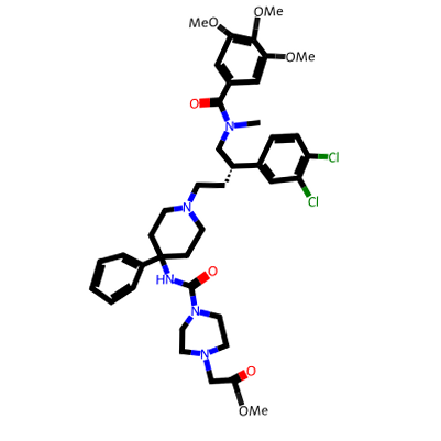 COC(=O)CN1CCN(C(=O)NC2(c3ccccc3)CCN(CC[C@H](CN(C)C(=O)c3cc(OC)c(OC)c(OC)c3)c3ccc(Cl)c(Cl)c3)CC2)CC1